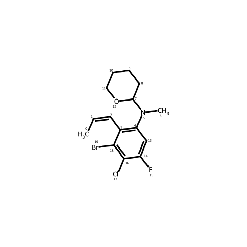 C/C=C\c1c(N(C)C2CCCCO2)cc(F)c(Cl)c1Br